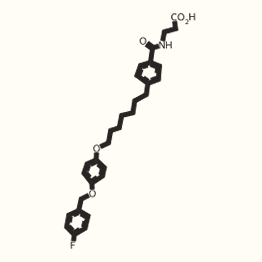 O=C(O)CCNC(=O)c1ccc(CCCCCCCOc2ccc(OCc3ccc(F)cc3)cc2)cc1